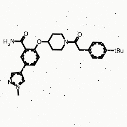 Cn1cc(-c2ccc(OC3CCN(C(=O)Cc4ccc(C(C)(C)C)cc4)CC3)c(C(N)=O)c2)cn1